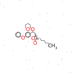 CCCCCC[C@@H]1C(=O)O[C@H]1CC(OC1CCCCO1)c1ccc(Oc2ccccc2)cc1